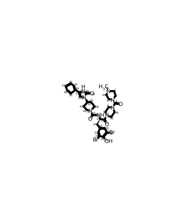 CN1CCN(C(=O)N2CCN(C(=O)[C@@H](Cc3cc(Br)c(O)c(Br)c3)NC(=O)N3CCC(n4cc(-c5ccccc5)[nH]c4=O)CC3)CC2)CC1